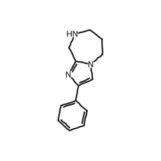 c1ccc(-c2cn3c(n2)CNCCC3)cc1